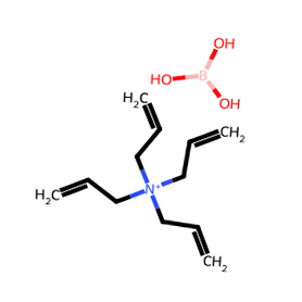 C=CC[N+](CC=C)(CC=C)CC=C.OB(O)O